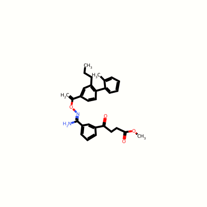 C=C(O/N=C(\N)c1cccc(C(=O)CCC(=O)OC)c1)c1ccc(-c2ccccc2C)c(CCC)c1